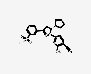 Cc1nc(N2N=C(c3cccc(S(C)(=O)=O)c3)C[C@@H]2C2CCCC2)ccc1C#N